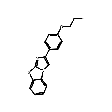 FCCOc1ccc(-c2cn3c(n2)sc2ccccc23)cc1